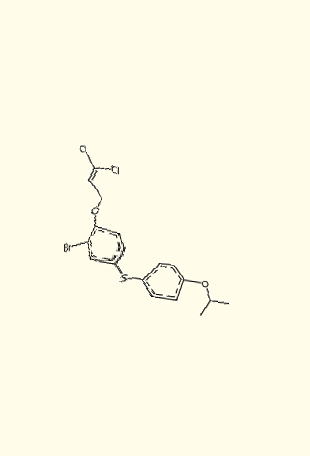 CC(C)Oc1ccc(Sc2ccc(OCC=C(Cl)Cl)c(Br)c2)cc1